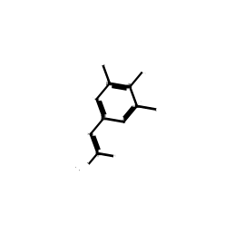 CCOC(=O)/C(C#N)=C\c1cc(C)c(C)c(C)c1